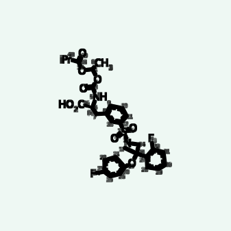 CC(OC(=O)N[C@@H](Cc1cccc(S(=O)(=O)N2CC(Oc3ccc(F)cc3)(c3ccccc3F)C2)c1)C(=O)O)OC(=O)C(C)C